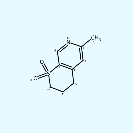 Cc1cc2c(cn1)S(=O)(=O)CCC2